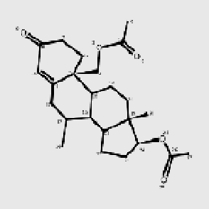 CC(=O)OC[C@]12CCC(=O)C=C1CC(C)C1C2CC[C@@]2(C)C1CC[C@@H]2OC(C)=O